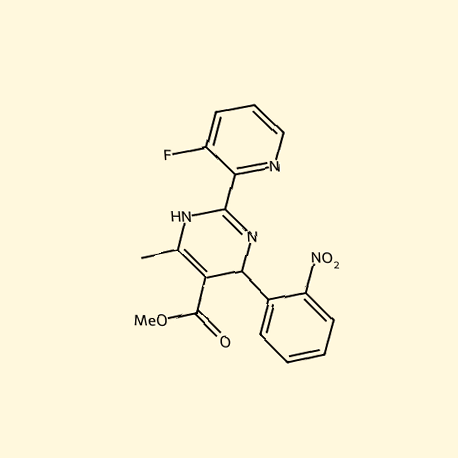 COC(=O)C1=C(C)NC(c2ncccc2F)=NC1c1ccccc1[N+](=O)[O-]